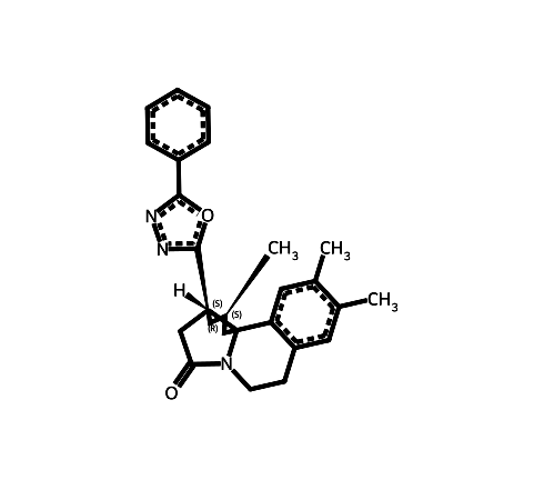 Cc1cc2c(cc1C)C13C[C@H](C)[C@@H](c4nnc(-c5ccccc5)o4)[C@@H]1CC(=O)N3CC2